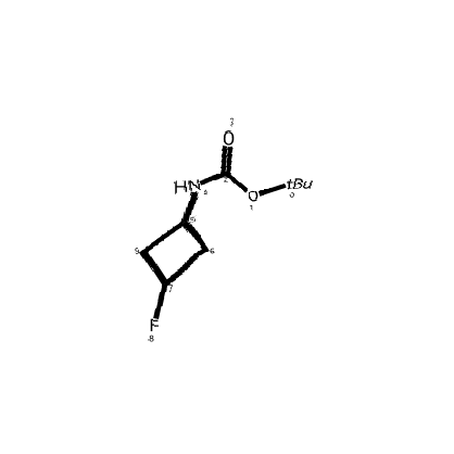 CC(C)(C)OC(=O)NC1CC(F)C1